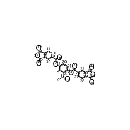 CC(=O)c1cc(OC(=O)c2ccc3c(c2)C(=O)OC3=O)ccc1OC(=O)c1ccc2c(c1)C(=O)OC2=O